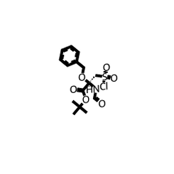 CC(C)(C)OC(=O)[C@](CS(=O)(=O)Cl)(NC=O)OCc1ccccc1